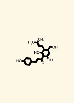 CC(C)=CCc1c(CO)cc(O)c(C(=O)/C=C/c2ccc(O)cc2)c1O